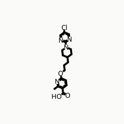 Cc1nc(OCCCC2CCN(c3ncc(Cl)cn3)CC2)ccc1C(=O)O